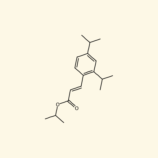 CC(C)OC(=O)C=Cc1ccc(C(C)C)cc1C(C)C